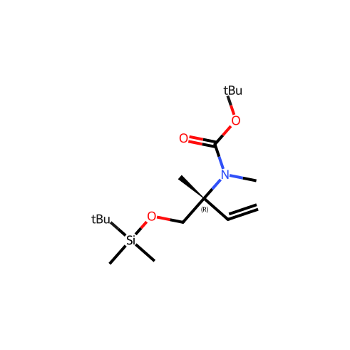 C=C[C@](C)(CO[Si](C)(C)C(C)(C)C)N(C)C(=O)OC(C)(C)C